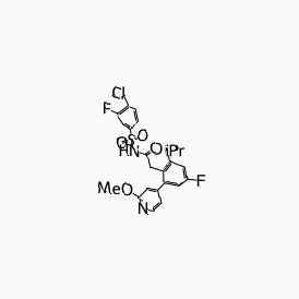 COc1cc(-c2cc(F)cc(C(C)C)c2CC(=O)NS(=O)(=O)c2ccc(Cl)c(F)c2)ccn1